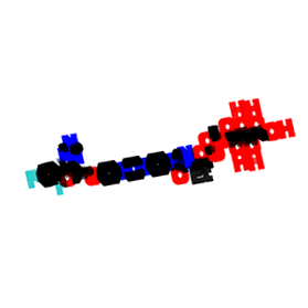 CC[C@@H]([C@H](C)OC(=O)OC(C)OC(=O)[C@H](O)[C@@H](O)[C@H](O)[C@H](O)CO)n1ncn(-c2ccc(N3CCN(c4ccc(OC[C@@H]5CO[C@@](Cn6cncn6)(c6ccc(F)cc6F)C5)cc4)CC3)cc2)c1=O